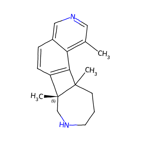 Cc1cncc2ccc3c(c12)C1(C)CCCNC[C@]31C